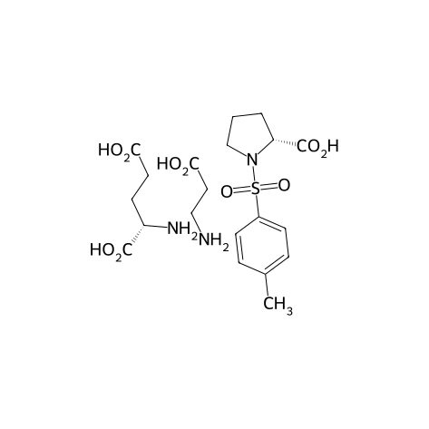 Cc1ccc(S(=O)(=O)N2CCC[C@@H]2C(=O)O)cc1.NCCC(=O)O.N[C@@H](CCC(=O)O)C(=O)O